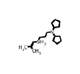 CC(C)=C[SiH2]CCCN(C1CCCC1)C1CCCC1